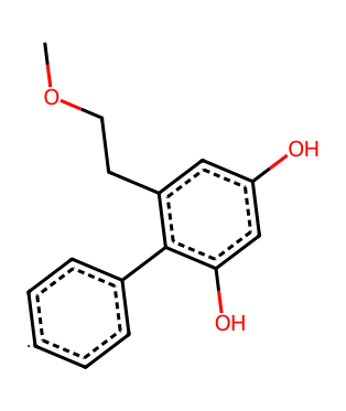 COCCc1cc(O)cc(O)c1-c1cc[c]cc1